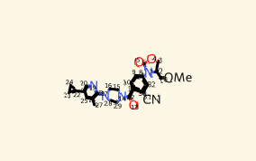 COCC1COC(=O)N1c1ccc(C(=O)N2CCN(c3ncc(C4CC4)cc3C)CC2)c(C#N)c1